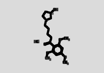 COc1cc(OC)c(C(=O)CCCCN2CC[C@@H](O)C2)c(OC)c1.Cl